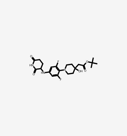 CC(C)(C)OC(=O)CC1(O)CCN(c2c(F)cc(NC3CCC(=O)NC3=O)cc2F)CC1